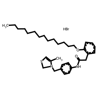 Br.CCCCCCCCCCCCCCOc1ccccc1CC(=O)Nc1ccc(CN2CSC=C2C)cc1